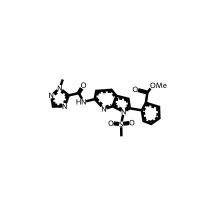 COC(=O)c1ccccc1-c1cc2ccc(NC(=O)c3ncnn3C)nc2n1S(C)(=O)=O